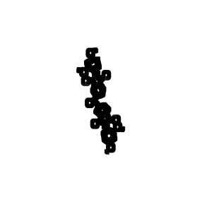 COc1ccc(N2C(=O)c3ccc(C(=O)c4ccc5c(c4)C(=O)N(c4ccc(OC)cc4OC)C5=O)cc3C2=O)c(OC)c1